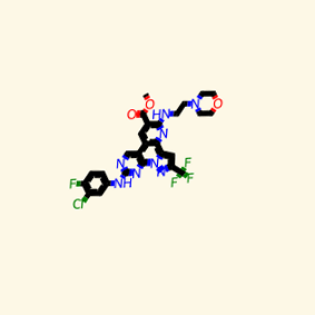 COC(=O)c1cc2c3cnc(Nc4ccc(F)c(Cl)c4)nc3n3nc(C(F)(F)F)cc3c2nc1NCCN1CCOCC1